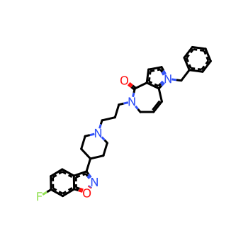 O=C1c2ccn(Cc3ccccc3)c2C=CCN1CCCN1CCC(c2noc3cc(F)ccc23)CC1